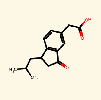 CC(C)CC1CC(=O)c2cc(CC(=O)O)ccc21